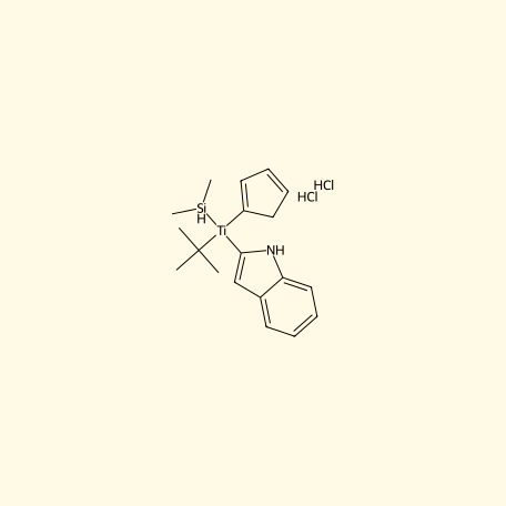 C[SiH](C)[Ti]([C]1=CC=CC1)([c]1cc2ccccc2[nH]1)[C](C)(C)C.Cl.Cl